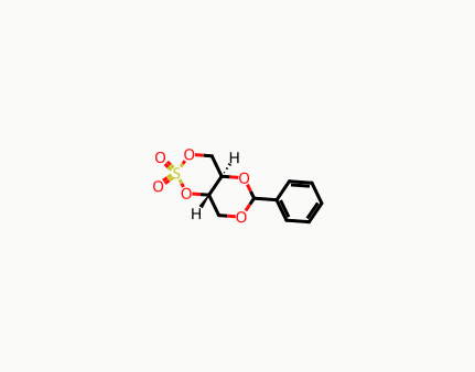 O=S1(=O)OC[C@H]2OC(c3ccccc3)OC[C@@H]2O1